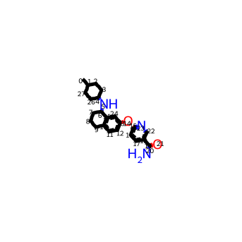 CC1CCC(NC2CCCc3ccc(Oc4ccc(C(N)=O)cn4)cc32)CC1